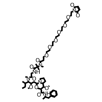 CCC(C)C(C(CC(=O)N1CCCC1C(OC)C(C)C(=O)NC(C)Cc1ccccc1)OC)N(C)C(=O)CNC(=O)C(C)(C)N(C)C(=O)CCOCCOCCOCCOCCOCCOCCN1C(=O)C=CC1=O